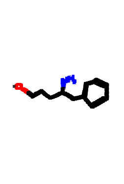 NC(CCC[O])Cc1ccccc1